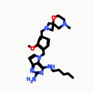 CCCCCNc1nc(N)nc2ccn(Cc3ccc(CN4CC5(CN(C)CCO5)C4)cc3OC)c12